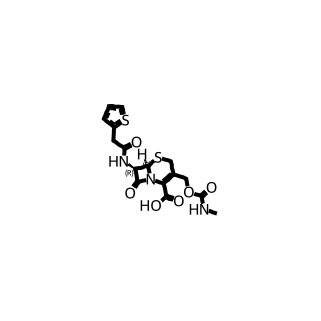 CNC(=O)OCC1=C(C(=O)O)N2C(=O)[C@@H](NC(=O)Cc3cccs3)[C@H]2SC1